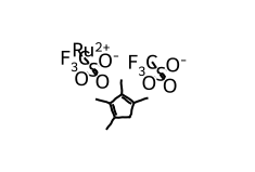 CC1=C(C)C(C)=C(C)C1.O=S(=O)([O-])C(F)(F)F.O=S(=O)([O-])C(F)(F)F.[Ru+2]